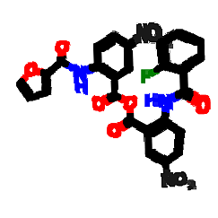 O=C(Nc1ccc([N+](=O)[O-])cc1C(=O)OC(=O)c1cc([N+](=O)[O-])ccc1NC(=O)c1ccccc1F)c1ccco1